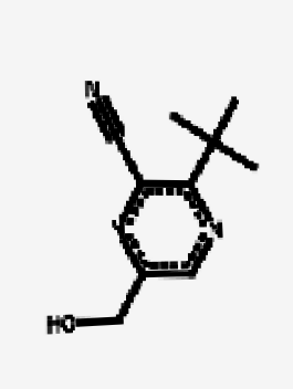 CC(C)(C)c1ncc(CO)nc1C#N